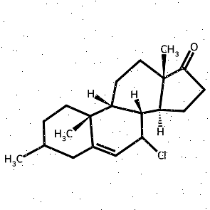 CC1CC[C@@]2(C)C(=CC(Cl)[C@@H]3[C@H]2CC[C@]2(C)C(=O)CC[C@@H]32)C1